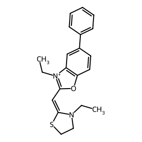 CCN1CCSC1=Cc1oc2ccc(-c3ccccc3)cc2[n+]1CC